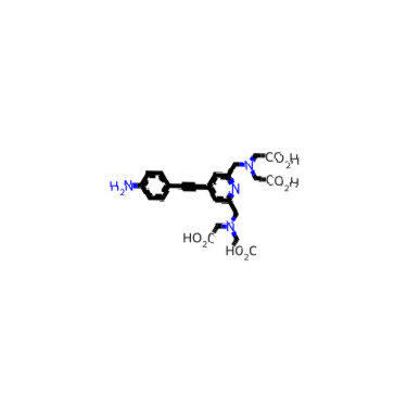 Nc1ccc(C#Cc2cc(CN(CC(=O)O)CC(=O)O)nc(CN(CC(=O)O)CC(=O)O)c2)cc1